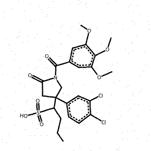 CCCC(C1(c2ccc(Cl)c(Cl)c2)CC(=O)N(C(=O)c2cc(OC)c(OC)c(OC)c2)C1)S(=O)(=O)O